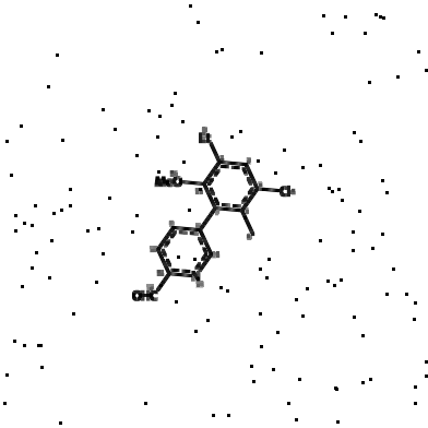 CCc1cc(Cl)c(C)c(-c2ccc(C=O)nc2)c1OC